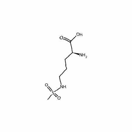 CS(=O)(=O)NCCC[C@H](N)C(=O)O